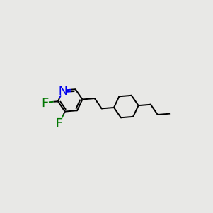 CCCC1CCC(CCc2cnc(F)c(F)c2)CC1